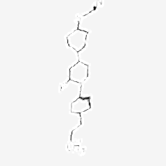 CCCC1CCC(C2CCC(C3CCC(SC#N)CC3)CC2F)CC1